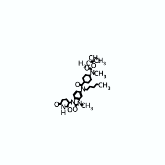 CCCCCN(C(=O)C1CCC(N(C)C(=O)OC(C)(C)C)CC1)c1ccc2c(c1)n(C)c(=O)n2C1CCC(=O)NC1=O